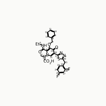 CCNC(=O)c1c(OCc2ccccc2)c(=O)c(-c2nnc(Cc3ccc(F)cc3F)s2)cn1N(C)C(=O)O